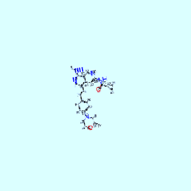 CNc1ncc(C=Cc2ccc(N3CCOC(C)C3)cc2)c2cc(NC(=O)C3CC3)ncc12